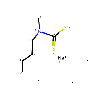 CCCCN(C)C(=S)[S-].[Na+]